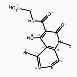 Cn1c(=O)c(C(=O)NCC(=O)O)c(O)c2c(Br)nccc21